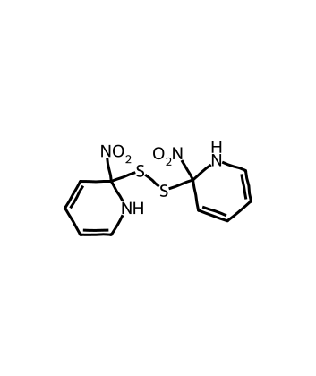 O=[N+]([O-])C1(SSC2([N+](=O)[O-])C=CC=CN2)C=CC=CN1